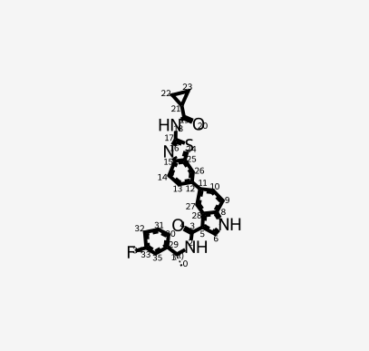 C[C@@H](NC(=O)c1c[nH]c2ccc(-c3ccc4nc(NC(=O)C5CC5)sc4c3)cc12)c1cccc(F)c1